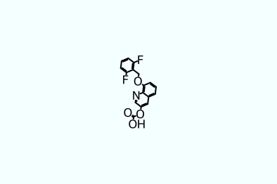 O=C(O)Oc1cnc2c(OCc3c(F)cccc3F)cccc2c1